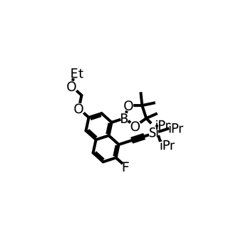 CCOCOc1cc(B2OC(C)(C)C(C)(C)O2)c2c(C#C[Si](C(C)C)(C(C)C)C(C)C)c(F)ccc2c1